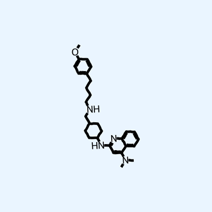 COc1ccc(CCCCNCC2CCC(Nc3cc(N(C)C)c4ccccc4n3)CC2)cc1